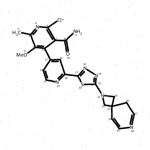 COc1c(C)nc(Cl)c(C(N)=O)c1-c1ccnc(-c2nnc(N3CC4(C=CN=CC4)C3)s2)c1